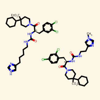 CCOC(=O)C1(C2CCCCC2)CCN(C(=O)[C@@H](Cc2ccc(Cl)c(Cl)c2)NC(=O)NCCCCCc2c[nH]cn2)CC1.CCOC(=O)C1(C2CCCCC2)CCN(C(=O)[C@@H](Cc2ccc(Cl)cc2Cl)NC(=O)NCCc2cn(C)cn2)CC1